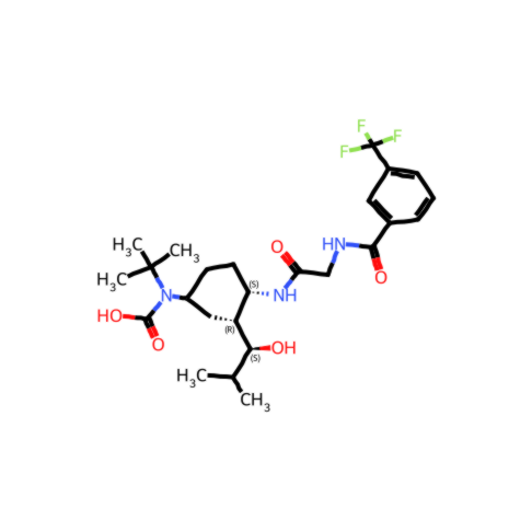 CC(C)[C@H](O)[C@@H]1CC(N(C(=O)O)C(C)(C)C)CC[C@@H]1NC(=O)CNC(=O)c1cccc(C(F)(F)F)c1